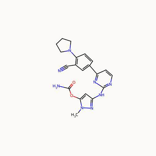 Cn1nc(Nc2nccc(-c3ccc(N4CCCC4)c(C#N)c3)n2)cc1OC(N)=O